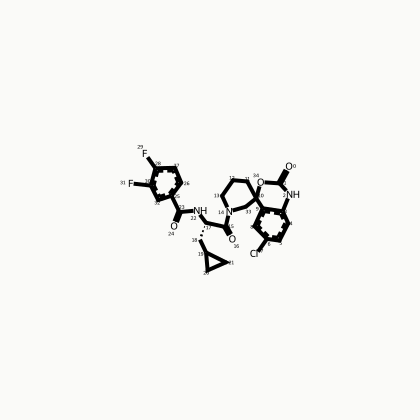 O=C1Nc2ccc(Cl)cc2C2(CCCN(C(=O)[C@H](CC3CC3)NC(=O)c3ccc(F)c(F)c3)C2)O1